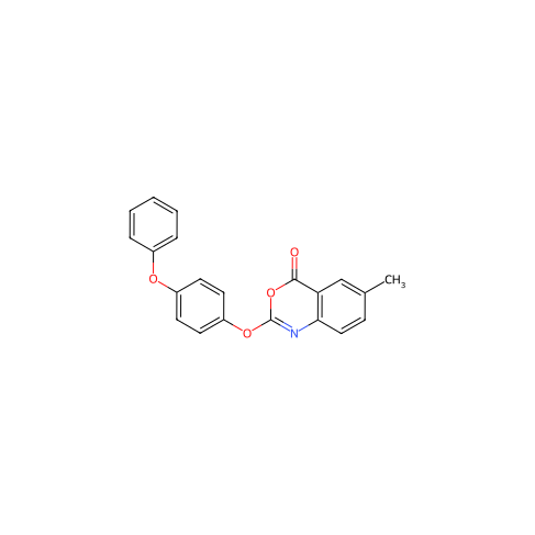 Cc1ccc2nc(Oc3ccc(Oc4ccccc4)cc3)oc(=O)c2c1